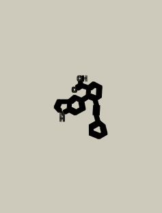 O=C(O)c1cccc(C#Cc2ccccc2)c1-c1ccc2[nH]ccc2c1